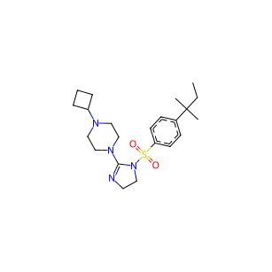 CCC(C)(C)c1ccc(S(=O)(=O)N2CCN=C2N2CCN(C3CCC3)CC2)cc1